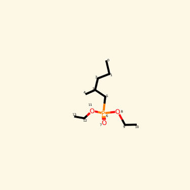 CCCC(C)CP(=O)(OCC)OCC